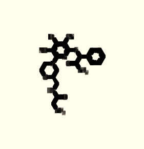 CCc1c(C#N)c(SC(C(N)=O)c2ccccc2)nc(N2CCO[C@H](CNC(=O)CN)C2)c1C#N